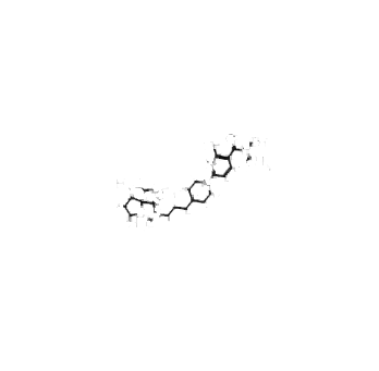 CC(C)[C@@]1(C(=O)N(C)CCCC2CCN(c3ccc(C(=O)N(C)C)c(Cl)n3)CC2)CCCO1